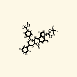 COC(=O)c1ccc(C2CC(c3ccncc3)CCN2Cc2c(OC)cc(C)c3c2ccn3C(=O)OC(C)(C)C)cc1